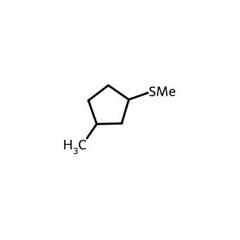 CSC1CCC(C)C1